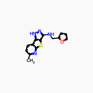 Cc1ccc2c(n1)sc1c(NCc3ccco3)n[nH]c12